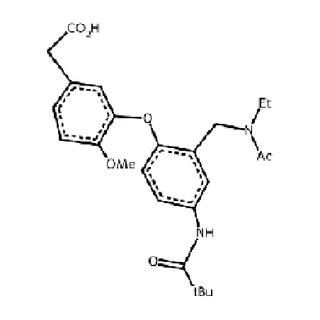 CCN(Cc1cc(NC(=O)C(C)(C)C)ccc1Oc1cc(CC(=O)O)ccc1OC)C(C)=O